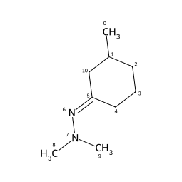 CC1CCC/C(=N\N(C)C)C1